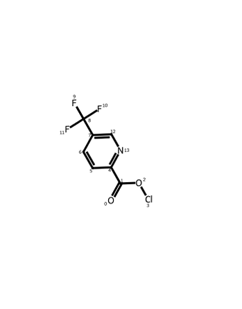 O=C(OCl)c1ccc(C(F)(F)F)cn1